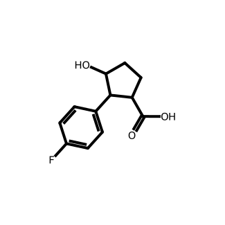 O=C(O)C1CCC(O)C1c1ccc(F)cc1